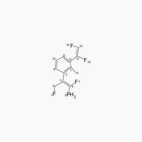 Cc1c(/C(CF)=C(\F)P)cccc1/C(F)=C\F